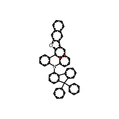 c1ccc(N(c2ccccc2-c2cccc3c2oc2cc4ccccc4cc23)c2cccc3c2-c2ccccc2C3(c2ccccc2)c2ccccc2)cc1